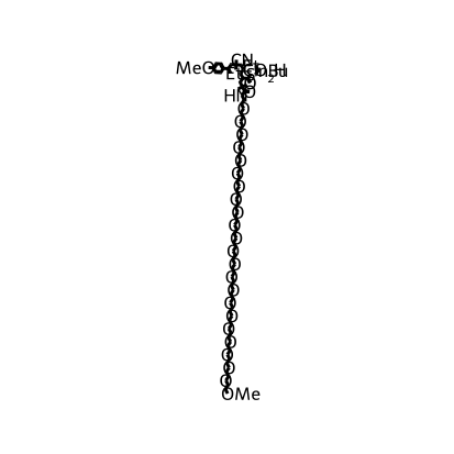 CCCCC(CC)CSC(=O)C(CC(CC(C)(C#N)CC(CC)c1ccc(OC)cc1)C(=O)O)CC(C)(C)C(=O)NCCOCCOCCOCCOCCOCCOCCOCCOCCOCCOCCOCCOCCOCCOCCOCCOCCOCCOCCOCCOCCOCCOCCOC